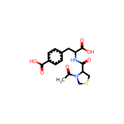 CC(=O)N1CSCC1C(=O)NC(Cc1ccc(C(=O)O)cc1)C(=O)O